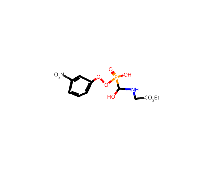 CCOC(=O)CNC(O)P(=O)(O)OOc1cccc([N+](=O)[O-])c1